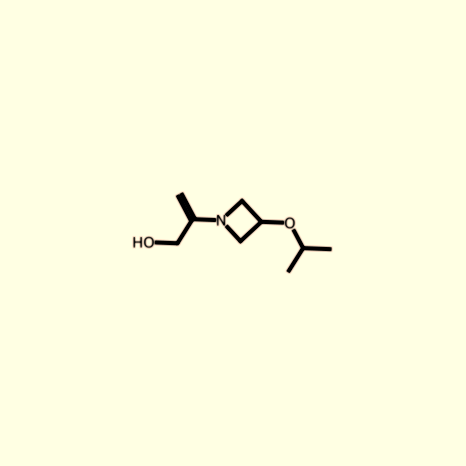 C=C(CO)N1CC(OC(C)C)C1